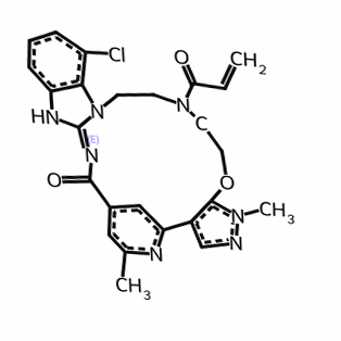 C=CC(=O)N1CCOc2c(cnn2C)-c2cc(cc(C)n2)C(=O)/N=C2\Nc3cccc(Cl)c3N2CC1